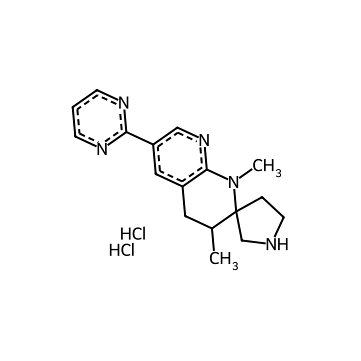 CC1Cc2cc(-c3ncccn3)cnc2N(C)C12CCNC2.Cl.Cl